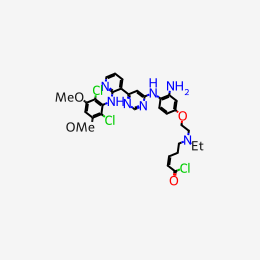 CCN(CC/C=C\C(=O)Cl)CCOc1ccc(Nc2cc(-c3cccnc3Nc3c(Cl)c(OC)cc(OC)c3Cl)ncn2)c(N)c1